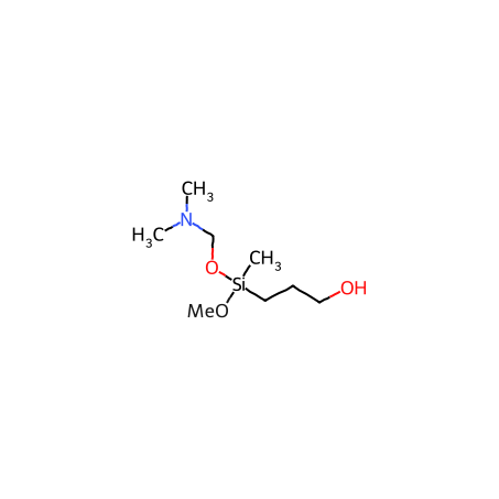 CO[Si](C)(CCCO)OCN(C)C